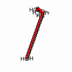 CCCN(CC#CCNC(=O)CCOCCOCCOCCOCCOCCOCCOCCOCCOCCOCCOCCOCCOCCOCCOCCOCCOCCOCCOCCOCCOCCOCCOCCOCCOCCC(O)O)C(=O)C1=Cc2ccc(-c3cccc(S(=O)(=O)N4CC(CO)C4)c3)cc2N=C(N)C1